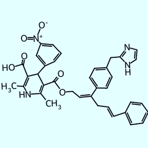 CC1=C(C(=O)O)C(c2cccc([N+](=O)[O-])c2)C(C(=O)OCC=C(CC=Cc2ccccc2)c2ccc(Cc3ncc[nH]3)cc2)=C(C)N1